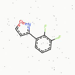 Fc1cccc(-c2[c]con2)c1F